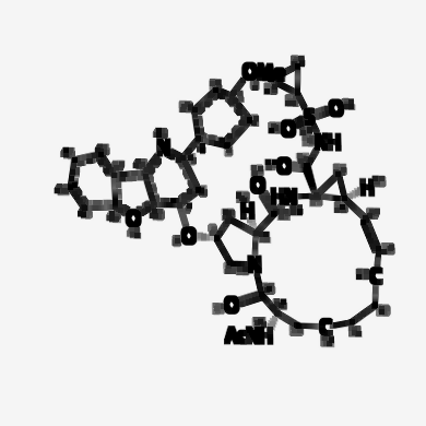 COc1ccc(-c2cc(O[C@@H]3C[C@H]4C(=O)N[C@]5(C(=O)NS(=O)(=O)C6CC6)C[C@H]5/C=C\CCCCC[C@H](NC(C)=O)C(=O)N4C3)c3oc4ccccc4c3n2)cc1